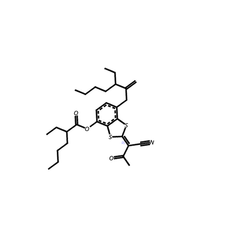 C=C(Cc1ccc(OC(=O)C(CC)CCCC)c2c1S/C(=C(\C#N)C(C)=O)S2)C(CC)CCCC